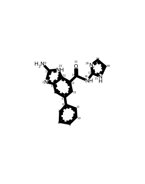 Nc1nc2cc(-c3ccccc3)cc(C(=O)Nc3ncc[nH]3)c2[nH]1